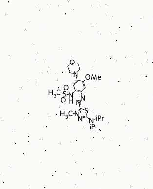 COc1cc(N=Nc2sc(N(C(C)C)C(C)C)n[n+]2C)c(NS(C)(=O)=O)cc1N1CCOCC1